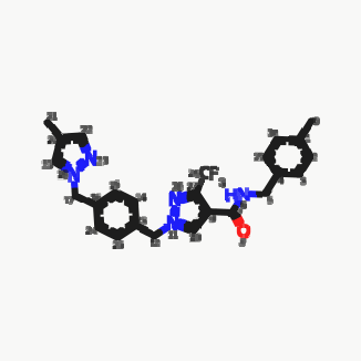 Cc1ccc(CNC(=O)c2cn(Cc3ccc(Cn4cc(C)cn4)cc3)nc2C(F)(F)F)cc1